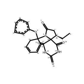 CC[C@@H]1CC(=O)N(C2(Oc3ccccc3)C=CC=CC2)C12C(=O)NC(=O)NC2=O